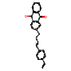 C=Cc1ccc(/C=C/CCc2ccc3c(c2)C(=O)c2ccccc2C3=O)cc1